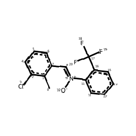 Cc1c(Cl)cccc1C=[N+]([O-])c1ccccc1C(F)(F)F